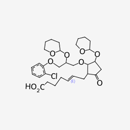 O=C(O)CCC/C=C/CC1C(=O)CC(OC2CCCCO2)C1OCC(COc1ccccc1Cl)OC1CCCCO1